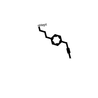 [CH2]C#CCc1ccc(CCCCCCCCCC)cc1